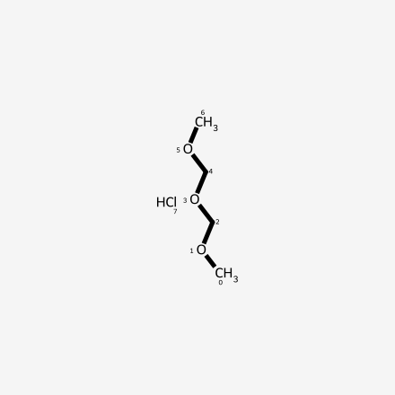 COCOCOC.Cl